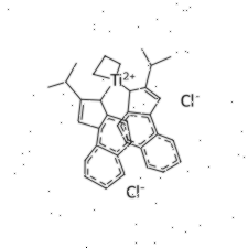 CC(C)C1=Cc2c(ccc3ccccc23)[CH]1[Ti+2]1([CH]2C(C(C)C)=Cc3c2ccc2ccccc32)[CH2]C[CH2]1.[Cl-].[Cl-]